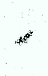 COC(=O)[C@H](Cc1ccc(OC(C)=O)cc1)n1c(C)cc(C(=O)C(F)(F)F)c1C